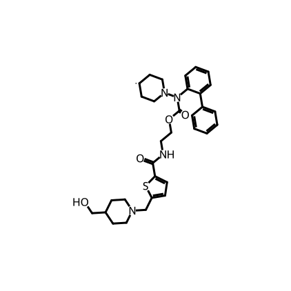 O=C(NCCOC(=O)N(c1ccccc1-c1ccccc1)N1CC[CH]CC1)c1ccc(CN2CCC(CO)CC2)s1